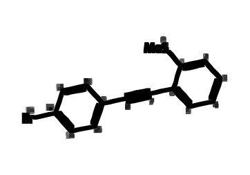 CSc1ccccc1C#Cc1ccc(Br)cc1